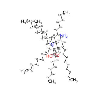 CCCCCCCCCC(CCN)C(CCCCCCCCC)(CCCCCCCCC)[C@@](CCCCCCCCC)(C(=O)O)N(CCCCCCCCC)CCCCCCCCC